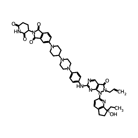 C=CCn1c(=O)c2cnc(Nc3ccc(N4CCN(C5CCN(c6ccc7c(c6)C(=O)N(C6CCC(=O)NC6=O)C7=O)CC5)CC4)cc3)nc2n1-c1ccc2c(n1)[C@@](O)(CC)CC2